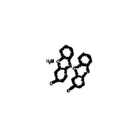 O.O=c1ccc2nc3ccccc3oc-2c1.O=c1ccc2nc3ccccc3oc-2c1